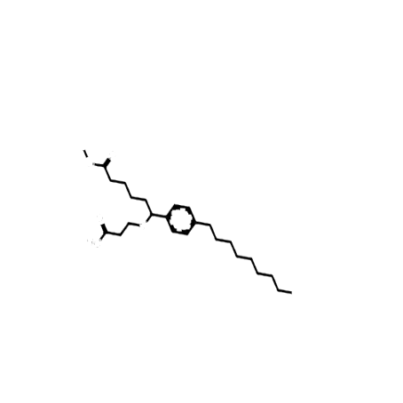 CCCCCCCCCc1ccc(C(CCCCC(=O)OC)SCCC(=O)O)cc1